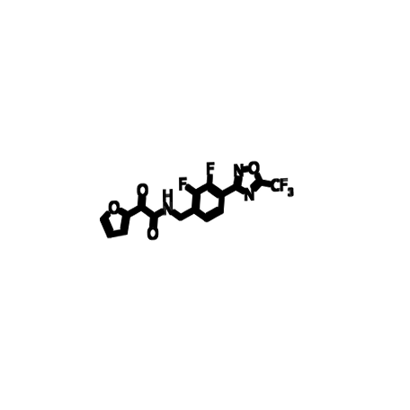 O=C(NCc1ccc(-c2noc(C(F)(F)F)n2)c(F)c1F)C(=O)c1ccco1